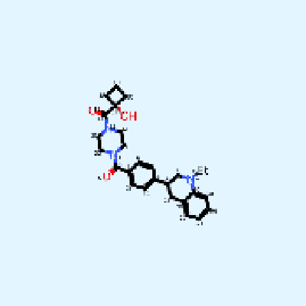 CCN1CC(c2ccc(C(=O)N3CCN(C(=O)C4(O)CCC4)CC3)cc2)Cc2ccccc21